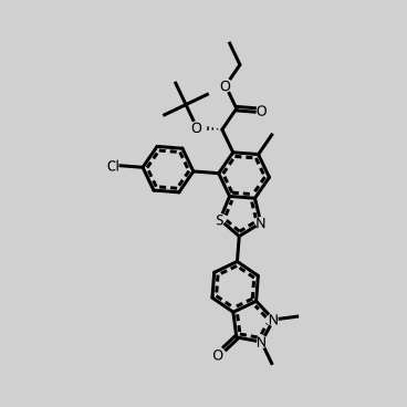 CCOC(=O)[C@@H](OC(C)(C)C)c1c(C)cc2nc(-c3ccc4c(=O)n(C)n(C)c4c3)sc2c1-c1ccc(Cl)cc1